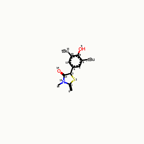 C=C1SC(c2cc(C(C)(C)C)c(O)c(C(C)(C)C)c2)C(=O)N1C